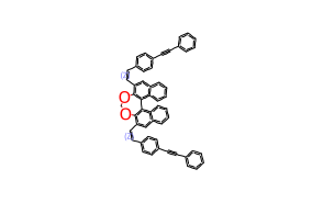 C(#Cc1ccc(/C=C\c2cc3ccccc3c3c2OCOc2c(/C=C\c4ccc(C#Cc5ccccc5)cc4)cc4ccccc4c2-3)cc1)c1ccccc1